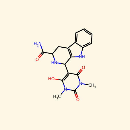 Cn1c(O)c(C2NC(C(N)=O)Cc3c2[nH]c2ccccc32)c(=O)n(C)c1=O